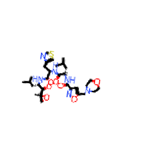 CC(C)C[C@H](NC(=O)c1cc(CN2CCOCC2)on1)C(=O)NC(Cc1cscn1)C(=O)N[C@@H](CC(C)C)C(=O)[C@@]1(C)CO1